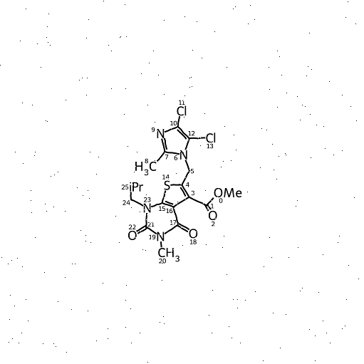 COC(=O)c1c(Cn2c(C)nc(Cl)c2Cl)sc2c1c(=O)n(C)c(=O)n2CC(C)C